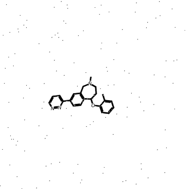 Cc1ccccc1OC1CCN(C)Cc2cc(-c3cccnn3)ccc21